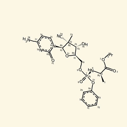 CC(C)OC(=O)[C@@H](C)N[P@@](=O)(OC[C@H]1O[C@@H](n2ccc(N)nc2=O)[C@](C)(C#N)[C@@H]1O)Oc1ccccc1